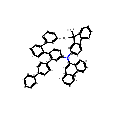 CC1(C)c2ccccc2-c2ccc(N(c3ccc(-c4ccccc4-c4ccccc4)c(-c4ccc(-c5ccccc5)cc4)c3)c3cc4ccccc4c4ccccc34)cc21